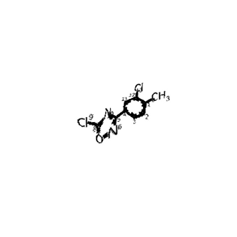 Cc1ccc(-c2noc(Cl)n2)cc1Cl